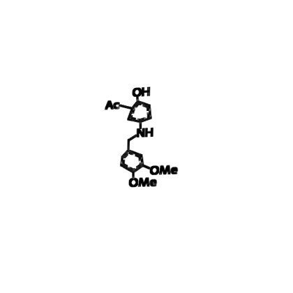 COc1ccc(CNc2ccc(O)c(C(C)=O)c2)cc1OC